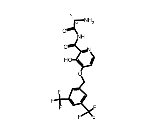 C[C@H](N)C(=O)NC(=O)c1nccc(OCc2cc(C(F)(F)F)cc(C(F)(F)F)c2)c1O